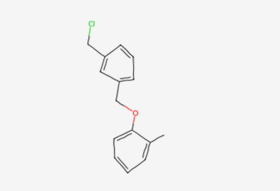 Cc1ccccc1OCc1cccc(CCl)c1